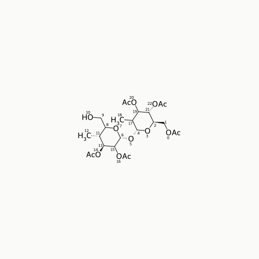 CC(=O)OC[C@H]1O[C@H](O[C@H]2OC(CO)[C@@H](C)[C@H](OC(C)=O)C2OC(C)=O)C(C)C(OC(C)=O)[C@@H]1OC(C)=O